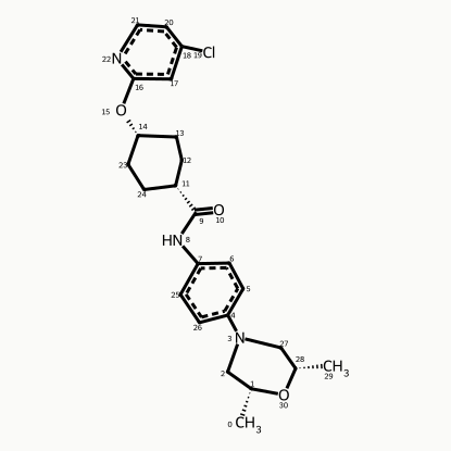 C[C@@H]1CN(c2ccc(NC(=O)[C@H]3CC[C@@H](Oc4cc(Cl)ccn4)CC3)cc2)C[C@H](C)O1